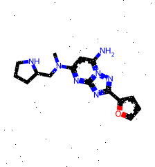 CN(CC1CCCN1)c1cc(N)n2nc(-c3ccco3)nc2n1